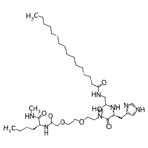 CCCCCCCCCCCCCCCC(=O)NCC(O)N[C@@H](Cc1c[nH]cn1)C(=O)NCCOCCOCC(=O)N[C@@H](CCCC)C(=O)NC